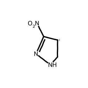 O=[N+]([O-])C1=NNC[C]1